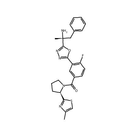 Cc1csc([C@H]2CCCN2C(=O)c2ccc(F)c(-c3nnc([C@](C)(N)Cc4ccccc4)o3)c2)n1